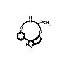 COC1CNCCOc2cccc(c2)-c2n[nH]c3ccc(cc23)OC1